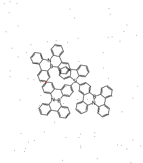 c1ccc([Si](c2ccc3c(c2)-c2ccccc2N2B3c3ccccc3-c3ccccc32)(c2ccc3c(c2)-c2ccccc2N2B3c3ccccc3-c3ccccc32)c2ccccc2-c2ccc3c(c2)-c2ccccc2N2B3c3ccccc3-c3ccccc32)cc1